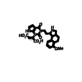 COc1cccc2c1CCC1CNC(CCn3c(=O)c4cc[nH]c4n(/C(=C\C(=O)O)C(=O)O)c3=O)C21